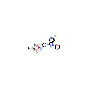 CC(C)(C)OC(=O)NC1CN(c2nn(C3CCCCO3)c3cc(Cl)ncc23)CC1(F)F